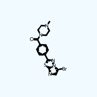 CN1CCN(C(=O)c2ccc(-c3nn4c(Br)cnc4s3)cc2)CC1